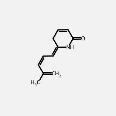 C=C(C)/C=C\C=C1/CC=CC(=O)N1